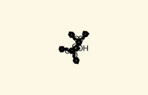 OC1Cc2c(OCc3ccccc3)cc(OCc3ccccc3)cc2OC1c1ccc(OCc2ccccc2)c(OCc2ccccc2)c1